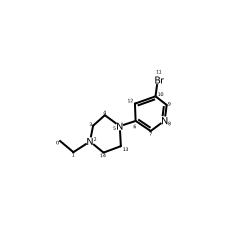 CCN1CCN(c2cncc(Br)c2)CC1